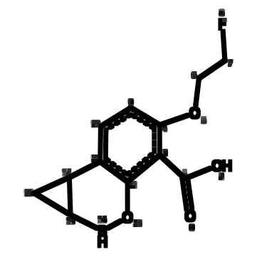 O=C(O)c1c(OCCF)ccc2c1OBC1CC21